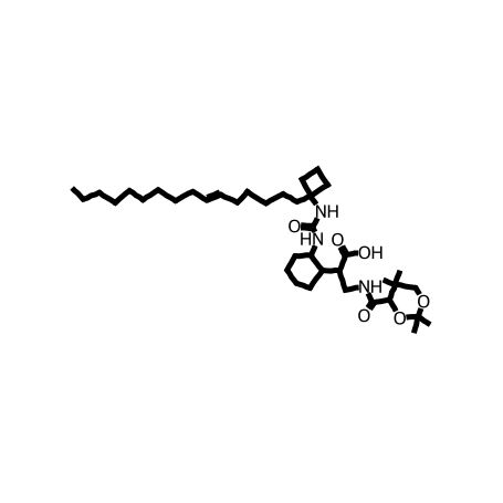 CCCCCCCCCC=CCCCCCC1(NC(=O)NC2CCCCC2C(CNC(=O)C2OC(C)(C)OCC2(C)C)C(=O)O)CCC1